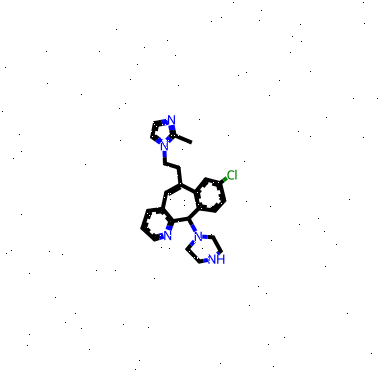 Cc1nccn1CCC1=Cc2cccnc2C(N2CCNCC2)c2ccc(Cl)cc21